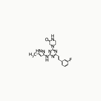 Cc1cc(Nc2nc(/C=C/c3cccc(F)c3)nc(N3CCNC(=O)C3)n2)n[nH]1